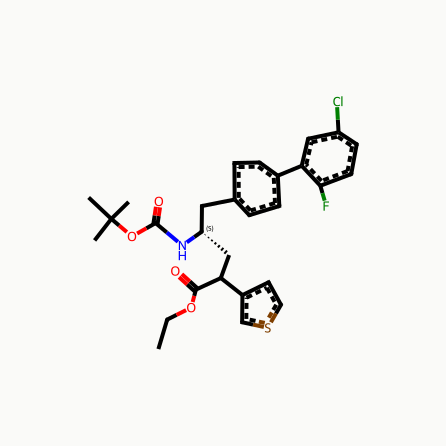 CCOC(=O)C(C[C@@H](Cc1ccc(-c2cc(Cl)ccc2F)cc1)NC(=O)OC(C)(C)C)c1ccsc1